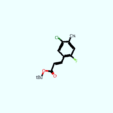 CC(C)(C)OC(=O)/C=C/c1cc(Cl)c(C#N)cc1F